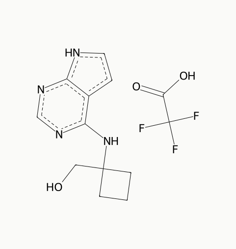 O=C(O)C(F)(F)F.OCC1(Nc2ncnc3[nH]ccc23)CCC1